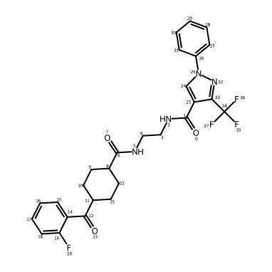 O=C(NCCNC(=O)C1CCC(C(=O)c2ccccc2F)CC1)c1cn(-c2ccccc2)nc1C(F)(F)F